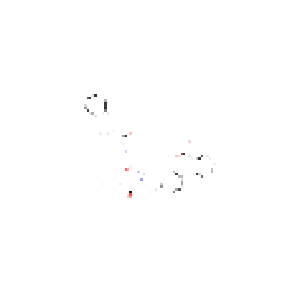 CCCCC(=O)N(Cc1ccc(-c2ccccc2C(=O)O)cc1)NC(=O)CNC(=O)C(CS)Cc1ccccc1